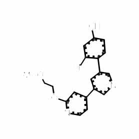 COCCOc1cc(-c2cncc(-c3ccc(C)cc3Cl)c2)ccn1